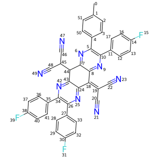 Cc1ccc(-c2nc3c(nc2-c2ccc(F)cc2)C(=C(C#N)C#N)c2nc(-c4ccc(F)cc4)c(-c4ccc(F)cc4)nc2C3C(C#N)C#N)cc1